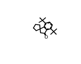 CC(C)(C)c1ccc(C(C)(C)C)c2c1C(=O)CC21CCCC1